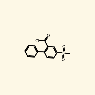 CS(=O)(=O)c1ccc(-c2ccccc2)c(C(=O)Cl)c1